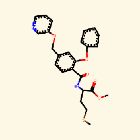 COC(=O)C(CCSC)NC(=O)c1ccc(COc2cccnc2)cc1Oc1ccccc1